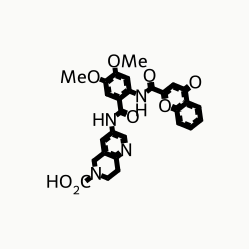 COc1cc(NC(=O)c2cc(=O)c3ccccc3o2)c(C(=O)Nc2cnc3c(c2)CN(C(=O)O)CC3)cc1OC